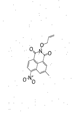 C=CCON1C(=O)c2ccc([N+](=O)[O-])c3cc(C)cc(c23)C1=O